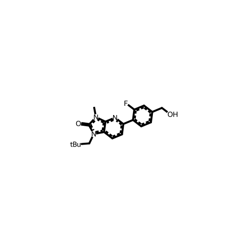 Cn1c(=O)n(CC(C)(C)C)c2ccc(-c3ccc(CO)cc3F)nc21